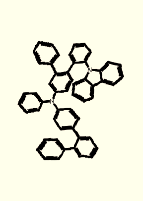 c1ccc(-c2ccccc2-c2ccc(N(c3ccccc3)c3ccc(-c4ccccc4-n4c5ccccc5c5ccccc54)c(-c4ccccc4)c3)cc2)cc1